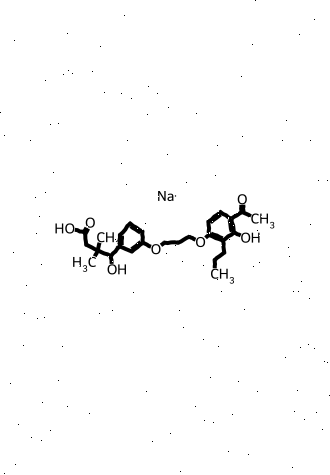 CCCc1c(OCCCOc2cccc(C(O)C(C)(C)CC(=O)O)c2)ccc(C(C)=O)c1O.[Na]